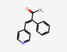 O=C(C(=Cc1ccncc1)c1ccccc1)C(F)(F)F